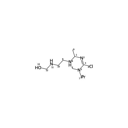 CC(/N=C(/Cl)N(C)C(C)C)NCCNCO